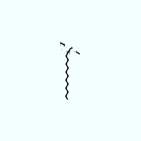 CCCCCCCCCCCCC(OCC)(OCC)C(=O)S